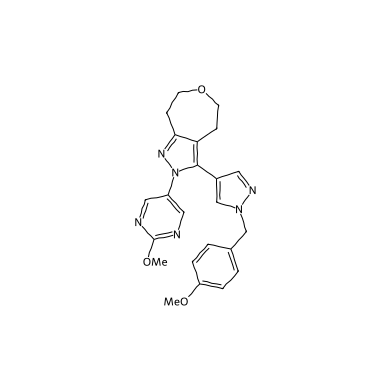 COc1ccc(Cn2cc(-c3c4c(nn3-c3cnc(OC)nc3)CCOCC4)cn2)cc1